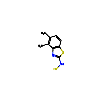 Cc1ccc2sc(NS)nc2c1C